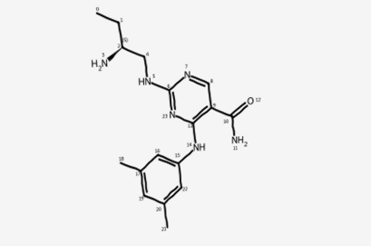 CC[C@H](N)CNc1ncc(C(N)=O)c(Nc2cc(C)cc(C)c2)n1